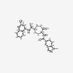 Cn1ncc2cc(C(=O)N[C@H]3CC[C@@H](C(=S)Nc4cc(C(F)(F)F)nc5ccccc45)CCC3=S)ccc21